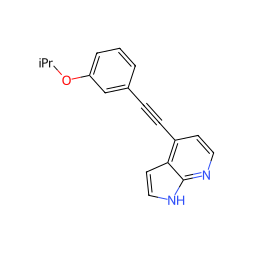 CC(C)Oc1cccc(C#Cc2ccnc3[nH]ccc23)c1